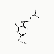 C[C@H](NC(=O)OC(C)(C)C)C(=O)NCCN(C)C